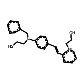 OCC[n+]1ccccc1/C=C/c1ccc(N(CCS)Cc2ccccc2)cc1